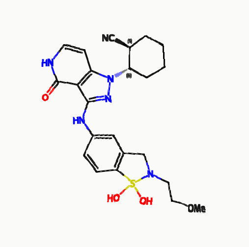 COCCN1Cc2cc(Nc3nn([C@H]4CCCC[C@@H]4C#N)c4cc[nH]c(=O)c34)ccc2S1(O)O